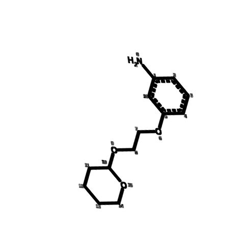 Nc1cccc(OCCOC2CCCCO2)c1